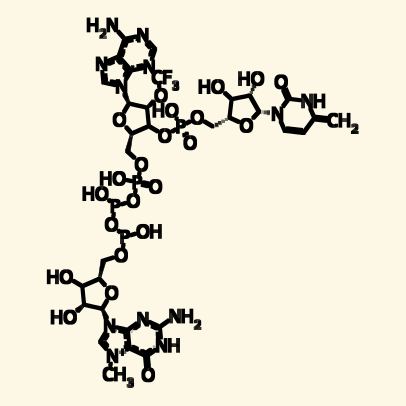 C=C1C=CN([C@@H]2O[C@H](COP(=O)(O)OC3[C@@H](COP(=O)(O)OP(O)OP(O)OC[C@H]4O[C@@H](n5c[n+](C)c6c(=O)[nH]c(N)nc65)[C@@H](O)C4O)O[C@@H](n4cnc5c(N)ncnc54)[C@H]3OC(F)(F)F)C(O)[C@@H]2O)C(=O)N1